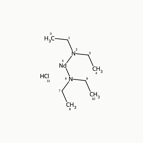 CC[N](CC)[Nd][N](CC)CC.Cl